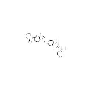 O=C1CCCCN1c1ccc2c(c1)ncn2Cc1ccc2c(c1)SC(NC1CCCCC1)N2